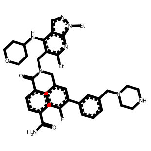 CCc1nc2c(cnn2CC)c(NC2CCOCC2)c1CN(Cc1ccc(F)c(-c2cccc(CN3CCNCC3)c2)c1)C(=O)c1ccc(C(N)=O)cc1